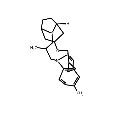 Cc1ccc2c(cnn2CC(C)CN2C3CC[C@@H]2CC(OCC2CC2)C3)c1